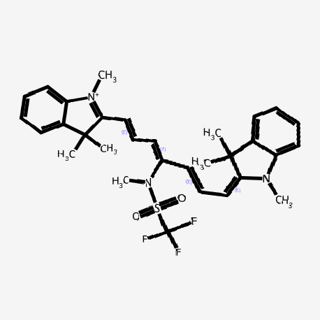 CN1/C(=C/C=C/C(=C/C=C/C2=[N+](C)c3ccccc3C2(C)C)N(C)S(=O)(=O)C(F)(F)F)C(C)(C)c2ccccc21